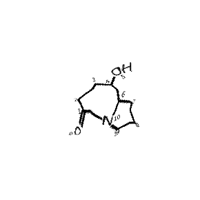 O=C1CCC(O)C2CCCN12